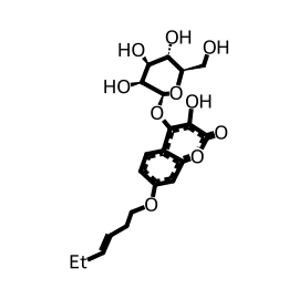 CCC=CCCOc1ccc2c(O[C@@H]3O[C@H](CO)[C@@H](O)[C@H](O)[C@@H]3O)c(O)c(=O)oc2c1